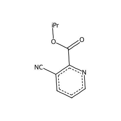 CC(C)OC(=O)c1ncccc1C#N